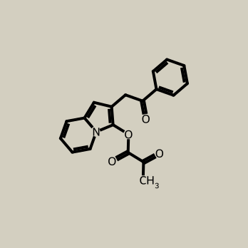 CC(=O)C(=O)Oc1c(CC(=O)c2ccccc2)cc2ccccn12